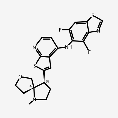 CN1CC[C@H](c2cc3c(Nc4c(F)cc5scnc5c4F)ccnc3s2)[C@]12CCOC2